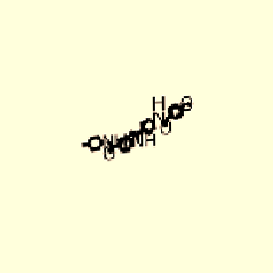 COc1ccc(C(=O)Nc2ccc(-c3cc4cc(C(=O)NC5CCC(C)CC5)ccc4[nH]3)cc2)cc1